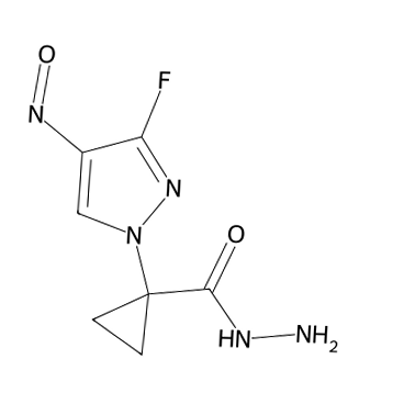 NNC(=O)C1(n2cc(N=O)c(F)n2)CC1